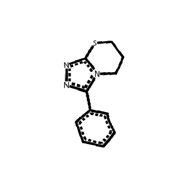 c1ccc(-c2nnc3n2CCCS3)cc1